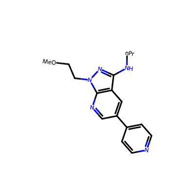 CCCNc1nn(CCOC)c2ncc(-c3ccncc3)cc12